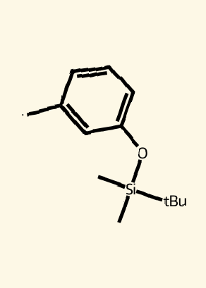 [CH2]c1cccc(O[Si](C)(C)C(C)(C)C)c1